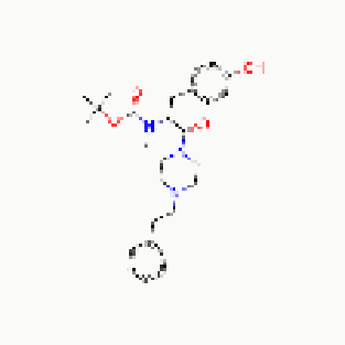 CN(C(=O)OC(C)(C)C)[C@@H](Cc1ccc(O)cc1)C(=O)N1CCN(CCc2ccccc2)CC1